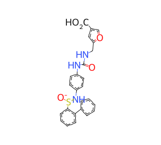 O=C(NCc1cc(C(=O)O)co1)Nc1ccc(N[S+]([O-])c2ccccc2-c2ccccc2)cc1